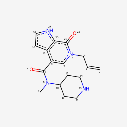 C=CCn1cc(C(=O)N(C)C2CCNCC2)c2cc[nH]c2c1=O